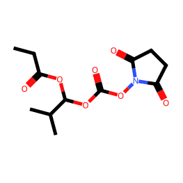 CCC(=O)OC(OC(=O)ON1C(=O)CCC1=O)C(C)C